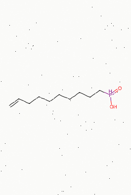 C=CCCCCCCCC[PH](=O)O